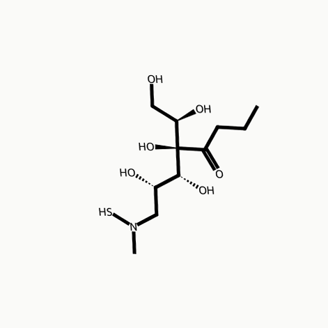 CCCC(=O)[C@@](O)([C@H](O)CO)[C@H](O)[C@@H](O)CN(C)S